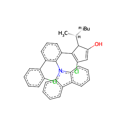 CC[C@@H](C)[C@@H](C)C1C(O)=CC(Cl)=C1c1cccc(-c2ccccc2Cl)c1-n1c2ccccc2c2ccccc21